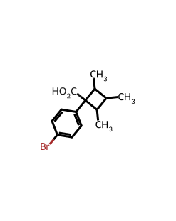 CC1C(C)C(C(=O)O)(c2ccc(Br)cc2)C1C